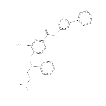 COc1cc(C(=O)Nc2nnc(-c3ccncc3)s2)ccc1OC(CCN(C)C)c1ccccc1